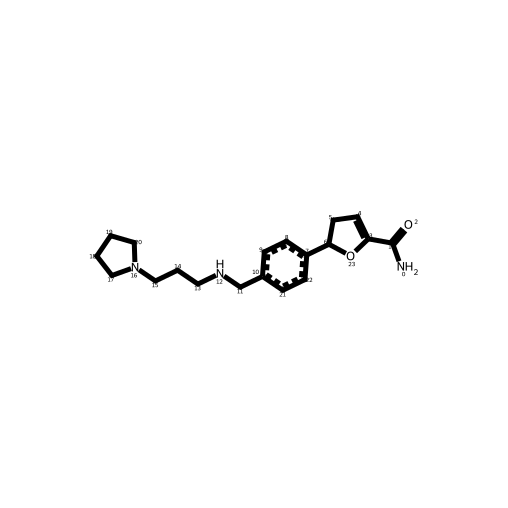 NC(=O)C1=CCC(c2ccc(CNCCCN3CCCC3)cc2)O1